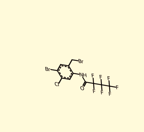 O=C(Nc1cc(Cl)c(Br)cc1CBr)C(F)(F)C(F)(F)C(F)(F)F